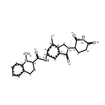 CN1c2ccccc2CCC1C(=O)Nc1cc(I)c2c(c1)C(=O)N(C1CCC(=O)NC1=O)C2